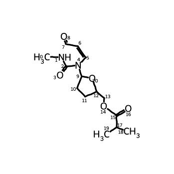 CNC(=O)N(/C=C\C=O)C1CCC(COC(=O)C(C)C)O1